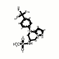 CS(=O)(=O)NC1CN(c2ccc(C(F)(F)F)cc2)c2ccnn2C1